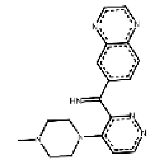 CN1CCN(c2ccnnc2C(=N)c2ccc3nccnc3c2)CC1